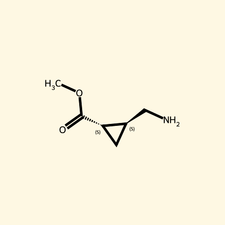 COC(=O)[C@H]1C[C@@H]1CN